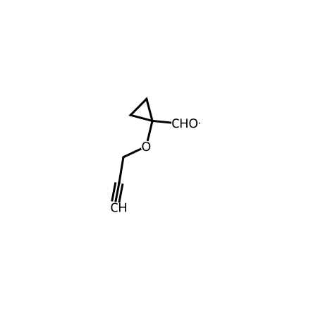 C#CCOC1([C]=O)CC1